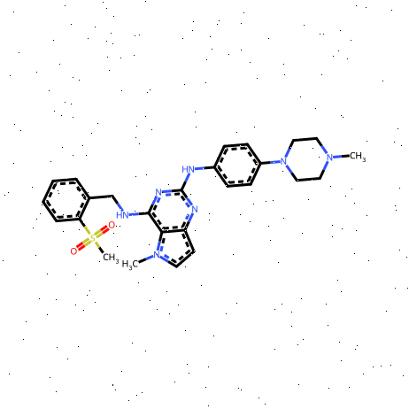 CN1CCN(c2ccc(Nc3nc(NCc4ccccc4S(C)(=O)=O)c4c(ccn4C)n3)cc2)CC1